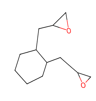 C1CCC(CC2CO2)C(CC2CO2)C1